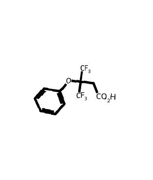 O=C(O)CC(Oc1ccccc1)(C(F)(F)F)C(F)(F)F